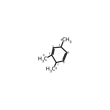 CC1=CC(C)C=CC1C